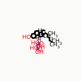 CC(C)CCC[C@@H](C)[C@H]1CC[C@H]2[C@@H]3CC=C4C[C@@H](O)CC[C@]4(C)[C@H]3CC[C@]12C.O=[PH](O)O.O=[PH](O)O